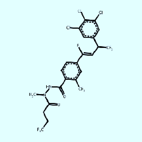 CN(NC(=O)c1ccc(C(F)=CC(c2cc(Cl)c(Cl)c(Cl)c2)C(F)(F)F)cc1C(F)(F)F)C(=O)CCC(F)(F)F